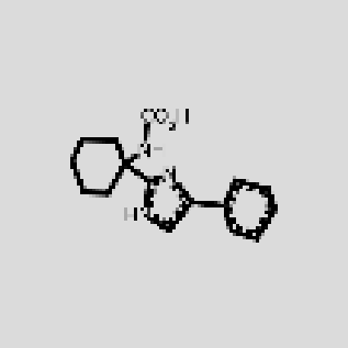 O=C(O)NC1(c2nc(-c3ccccc3)c[nH]2)CCCCC1